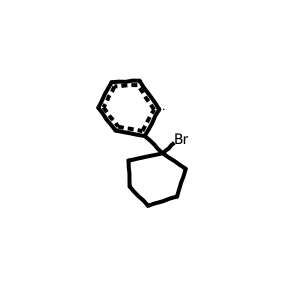 BrC1(c2[c]cccc2)CCCCC1